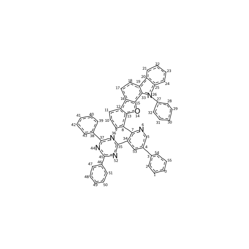 c1ccc(-c2cnc(-c3cccc4c3oc3c4ccc4c5ccccc5n(-c5ccccc5)c43)c(-c3nc(-c4ccccc4)nc(-c4ccccc4)n3)c2)cc1